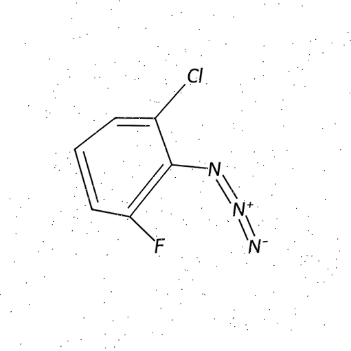 [N-]=[N+]=Nc1c(F)cccc1Cl